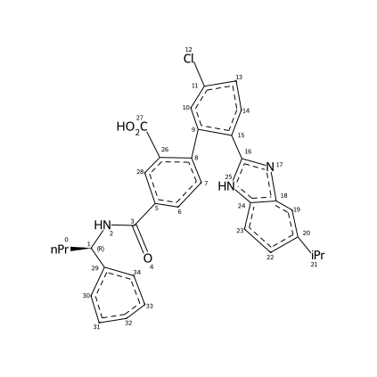 CCC[C@@H](NC(=O)c1ccc(-c2cc(Cl)ccc2-c2nc3cc(C(C)C)ccc3[nH]2)c(C(=O)O)c1)c1ccccc1